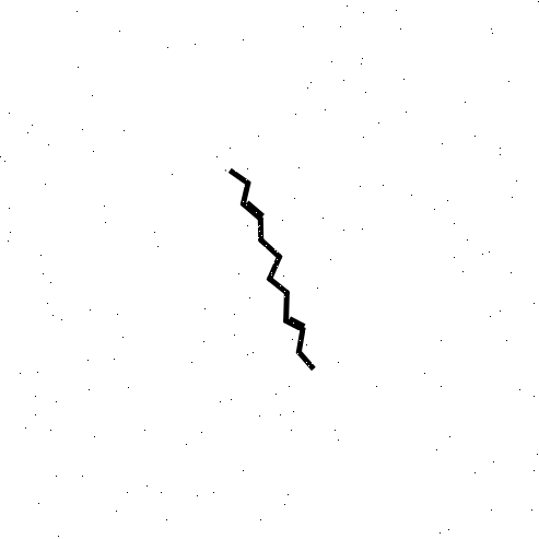 [CH2]CC=CCCCCC=CCC